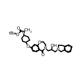 CN(C(=O)OC(C)(C)C)C1CCC(Oc2ccc3c(c2)OCCN(CC(O)CN2CCc4ccccc4C2)C3=O)CC1